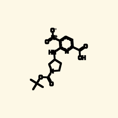 CC(C)(C)OC(=O)N1CCC(Nc2nc(C(=O)O)ccc2[N+](=O)[O-])C1